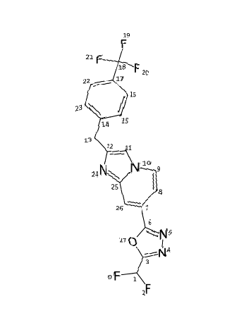 FC(F)c1nnc(-c2ccn3cc(Cc4ccc(C(F)(F)F)cc4)nc3c2)o1